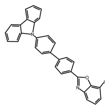 Ic1cccc2nc(-c3ccc(-c4ccc(-n5c6ccccc6c6ccccc65)cc4)cc3)oc12